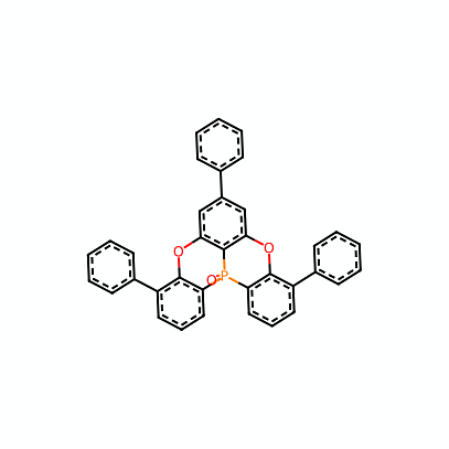 O=P12c3cccc(-c4ccccc4)c3Oc3cc(-c4ccccc4)cc(c31)Oc1c(-c3ccccc3)cccc12